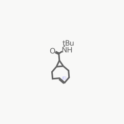 CC(C)(C)NC(=O)C1C2CC/C=C/CCC21